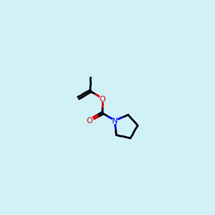 C=C(C)OC(=O)N1CCCC1